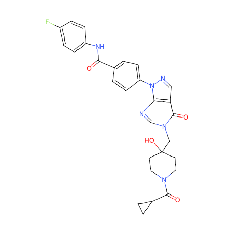 O=C(Nc1ccc(F)cc1)c1ccc(-n2ncc3c(=O)n(CC4(O)CCN(C(=O)C5CC5)CC4)cnc32)cc1